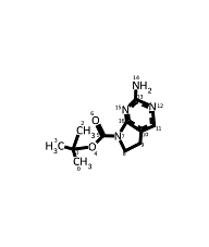 CC(C)(C)OC(=O)N1CCc2cnc(N)nc21